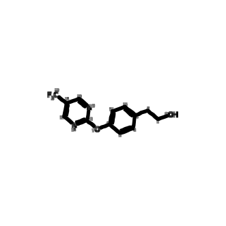 OCCc1ccc(Oc2ncc(C(F)(F)F)cn2)cc1